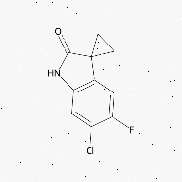 O=C1Nc2cc(Cl)c(F)cc2C12CC2